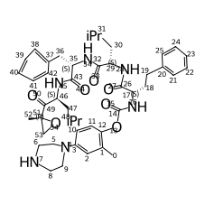 Cc1cc(N2CCNCC2)ccc1OC(=O)N[C@@H](CCc1ccccc1)C(=O)N[C@@H](CC(C)C)C(=O)N[C@@H](Cc1ccccc1)C(=O)N[C@@H](CC(C)C)C(=O)[C@@]1(C)CO1